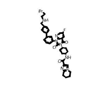 CC(C)CCNCc1ccc(-c2cccc(-n3c(=O)n([C@H]4CC[C@@H](NC(=O)c5cn6c(n5)CCCC6)CC4)c(=O)c4cc(F)cnc43)c2)cc1